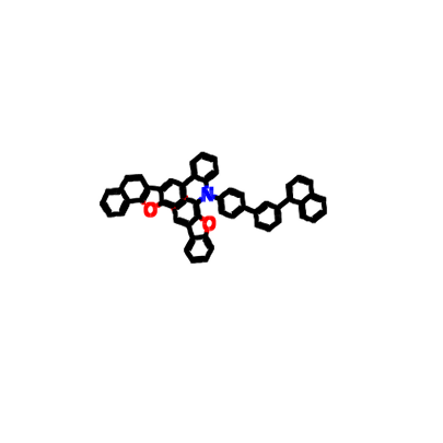 c1cc(-c2ccc(N(c3ccccc3-c3ccc4oc5c6ccccc6ccc5c4c3)c3cccc4c3oc3ccccc34)cc2)cc(-c2cccc3ccccc23)c1